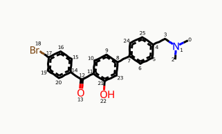 CN(C)Cc1ccc(-c2ccc(C(=O)c3ccc(Br)cc3)c(O)c2)cc1